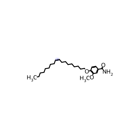 CCCCCCCC/C=C\CCCCCCCCOc1ccc(C(N)=O)cc1OC